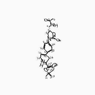 CC(=O)NC[C@H]1CN(c2ccc(C3=CCNC(C(=O)OC(C)(C)C)C3)cc2)C(=O)O1